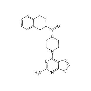 Nc1nc(N2CCN(C(=O)C3CCc4ccccc4C3)CC2)c2ccsc2n1